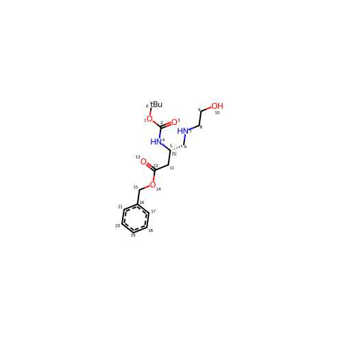 CC(C)(C)OC(=O)N[C@H](CNCCO)CC(=O)OCc1ccccc1